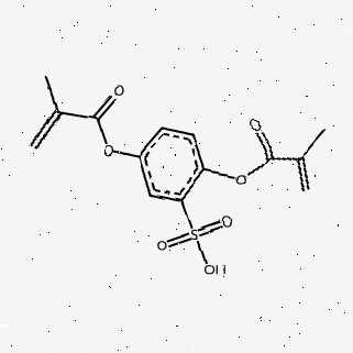 C=C(C)C(=O)Oc1ccc(OC(=O)C(=C)C)c(S(=O)(=O)O)c1